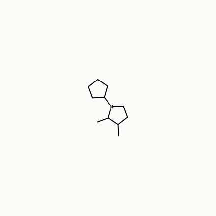 CC1CCN(C2CCCC2)C1C